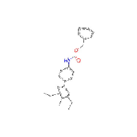 CCc1cc(-c2ccc(NC(=O)OCc3ccccc3)cc2)cc(CC)c1C